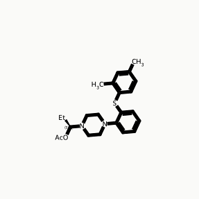 CC[C@H](OC(C)=O)N1CCN(c2ccccc2Sc2ccc(C)cc2C)CC1